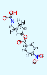 O=C(O[C@H]1C[C@@H]2CN(C(=O)O)C[C@@H]2C1)c1ccc([N+](=O)[O-])cc1